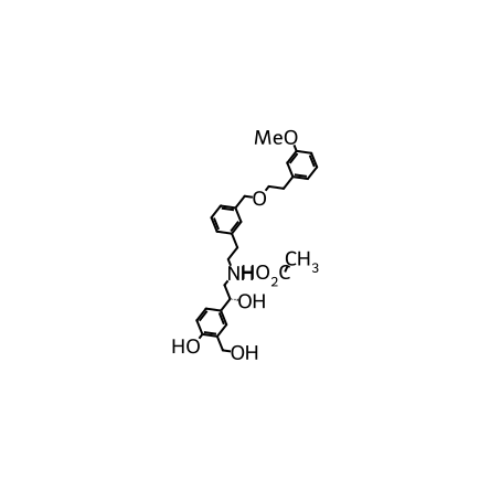 CC(=O)O.COc1cccc(CCOCc2cccc(CCNC[C@H](O)c3ccc(O)c(CO)c3)c2)c1